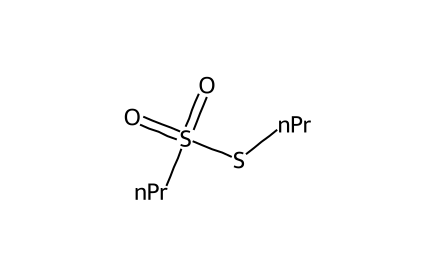 CCCSS(=O)(=O)CCC